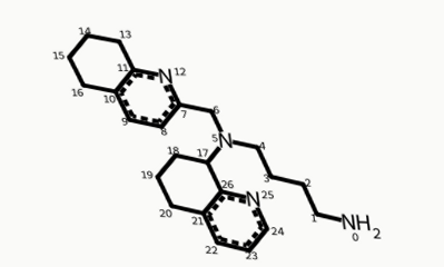 NCCCCN(Cc1ccc2c(n1)CCCC2)C1CCCc2cccnc21